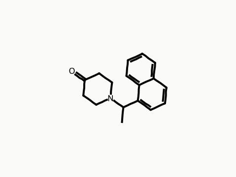 CC(c1cccc2ccccc12)N1CCC(=O)CC1